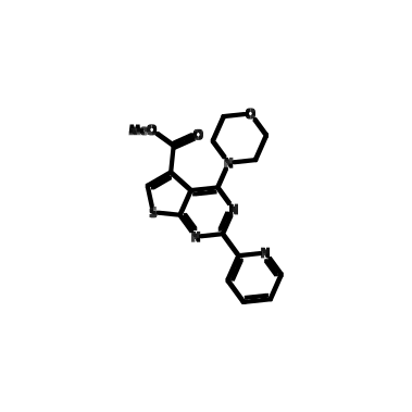 COC(=O)c1csc2nc(-c3ccccn3)nc(N3CCOCC3)c12